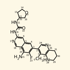 Cc1c(-c2cc3cc(NC(=O)N[C@H]4CCOC4)ncc3c(N)c2F)cnc2c1NCCC2